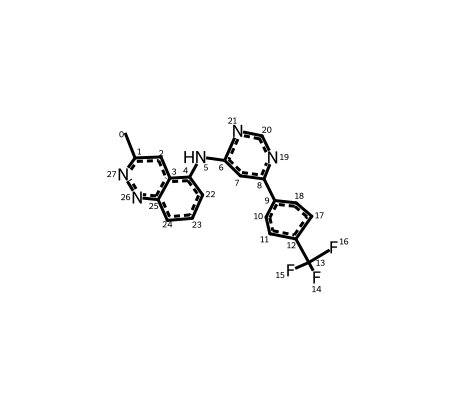 Cc1cc2c(Nc3cc(-c4ccc(C(F)(F)F)cc4)ncn3)cccc2nn1